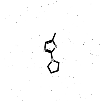 Cc1cnc(N2CCCC2)s1